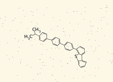 CC(C)c1ccc(-c2ccc(-c3ccc(-c4cccc5c4sc4ccccc45)cc3)cc2)cc1